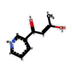 C/C(O)=C\C(=O)c1cccnc1